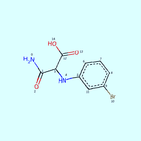 NC(=O)C(Nc1cccc(Br)c1)C(=O)O